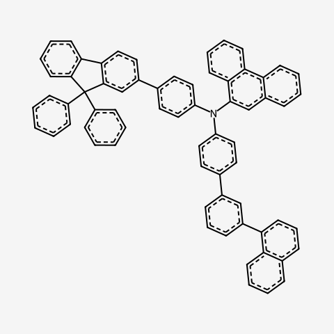 c1ccc(C2(c3ccccc3)c3ccccc3-c3ccc(-c4ccc(N(c5ccc(-c6cccc(-c7cccc8ccccc78)c6)cc5)c5cc6ccccc6c6ccccc56)cc4)cc32)cc1